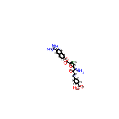 Cl.N=C(N)c1ccc2cc(OC(=O)c3ccc(C(N)C(=O)/C=C/c4ccc(C(=O)O)cc4)o3)ccc2c1